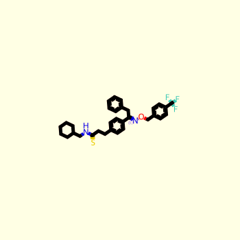 FC(F)(F)c1ccc(CO/N=C(\Cc2ccccc2)c2ccc(CCC(=S)NCC3CCCCC3)cc2)cc1